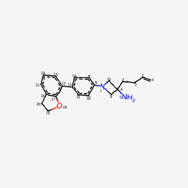 C=CCCC1(N)CN(c2ccc(-c3cccc4c3OCC4)cc2)C1